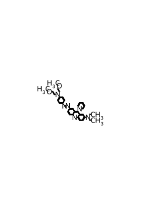 CCN(CC)c1ccc2nc3ccc(/N=N/c4ccc(N(CCOC)CCOC)cc4)cc3c(-[n+]3ccccc3)c2c1